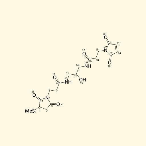 CSC1CC(=O)N(CCC(=O)NCC(O)CNC(=O)CCN2C(=O)C=CC2=O)C1=O